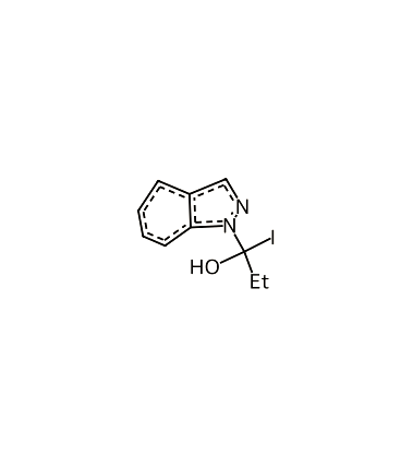 CCC(O)(I)n1ncc2ccccc21